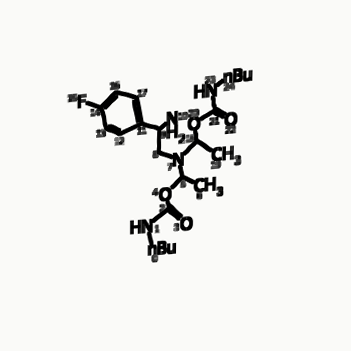 CCCCNC(=O)OC(C)N(CC(N)c1ccc(F)cc1)C(C)OC(=O)NCCCC